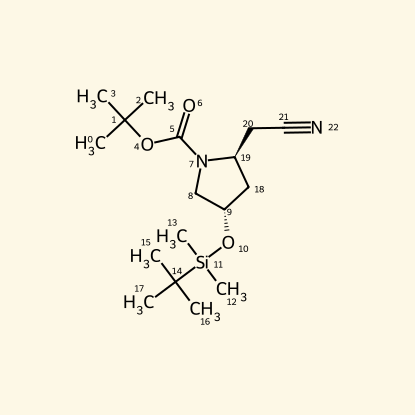 CC(C)(C)OC(=O)N1C[C@@H](O[Si](C)(C)C(C)(C)C)C[C@@H]1CC#N